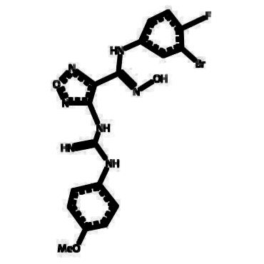 COc1ccc(NC(=N)Nc2nonc2/C(=N/O)Nc2ccc(F)c(Br)c2)cc1